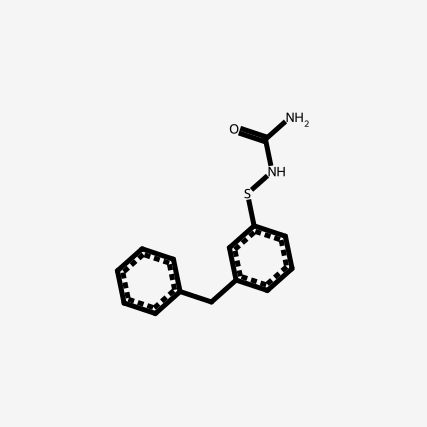 NC(=O)NSc1cccc(Cc2ccccc2)c1